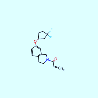 C=CC(=O)N1CCc2ccc(OC3CCC(F)(F)C3)cc2C1